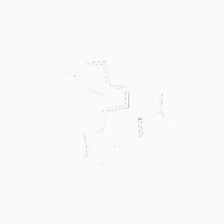 CN(C)C(=O)c1sc2cnc(Cl)cc2c1C1CCCC1